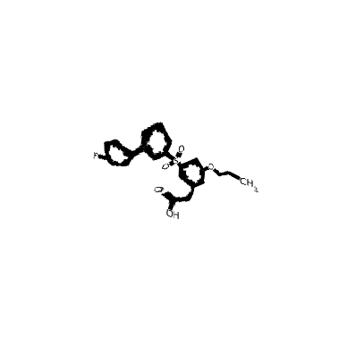 CCCOc1cc(CC(=O)O)cc(S(=O)(=O)c2cccc(-c3ccc(F)cc3)c2)c1